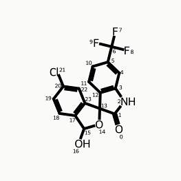 O=C1Nc2cc(C(F)(F)F)ccc2C12OC(O)c1ccc(Cl)cc12